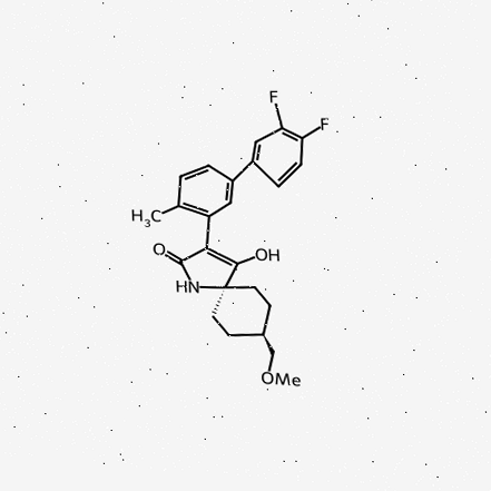 COC[C@H]1CC[C@]2(CC1)NC(=O)C(c1cc(-c3ccc(F)c(F)c3)ccc1C)=C2O